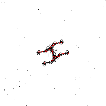 C=CC(=O)OCCCCCCOc1ccc(C(=O)Oc2ccc(OC(=O)c3ccc(OCCCCCCOC(=O)C=C)cc3)c3sc(NC(=O)CCC(=O)Nc4nc5c(OC(=O)c6ccc(OCCCCCCOC(=O)C=C)cc6)ccc(OC(=O)c6ccc(OCCCCCCOC(=O)C=C)cc6)c5s4)nc23)cc1